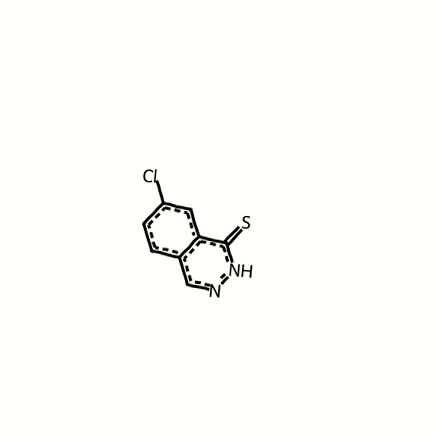 S=c1[nH]ncc2ccc(Cl)cc12